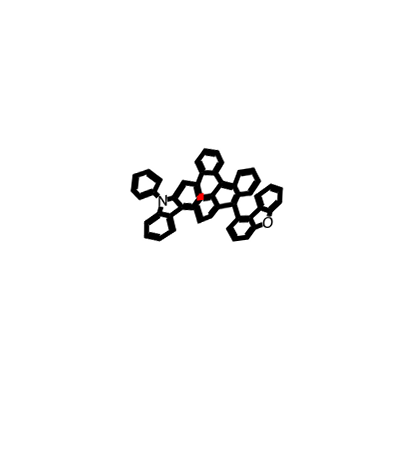 c1ccc(-n2c3ccccc3c3ccc(-c4ccccc4-c4c5ccccc5c(-c5cccc6oc7ccccc7c56)c5ccccc45)cc32)cc1